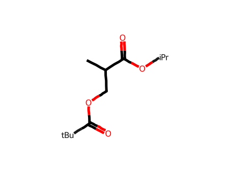 CC(C)OC(=O)C(C)COC(=O)C(C)(C)C